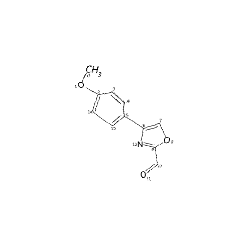 COc1ccc(-c2coc(C=O)n2)cc1